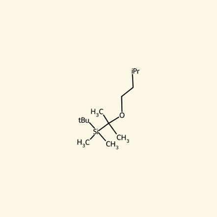 CC(C)CCOC(C)(C)[Si](C)(C)C(C)(C)C